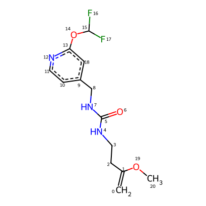 C=C(CCNC(=O)NCc1ccnc(OC(F)F)c1)OC